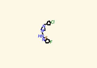 Fc1ccc2nc(NCCN3CCN(Cc4ccc(Cl)cc4)CC3)sc2c1